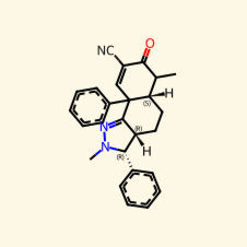 CC1C(=O)C(C#N)=CC2(c3ccccc3)C3=NN(C)[C@@H](c4ccccc4)[C@H]3CC[C@@H]12